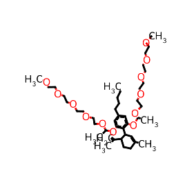 C=C(C)C1CCC(C)=CC1c1c(OC(C)OCCOCCOCCOCCOC)cc(CCCCC)cc1OC(C)OCCOCCOCCOCCOC